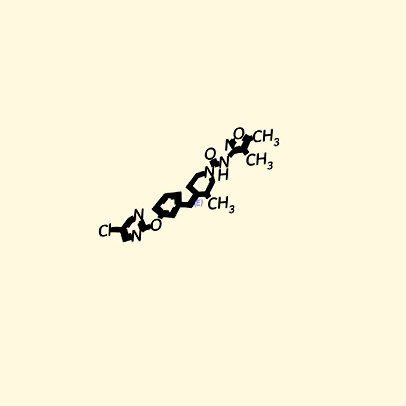 Cc1onc(NC(=O)N2CC/C(=C\c3cccc(Oc4ncc(Cl)cn4)c3)C(C)C2)c1C